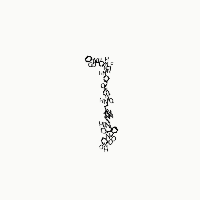 O=C1CCC(N2C(=O)c3cccc(NCCn4cc(CCNC(=O)N5CCN(C(=O)Cc6ccc(Nc7ncc(F)c(Nc8ccc(C(=O)Nc9ccccc9Cl)cc8)n7)cc6)CC5)nn4)c3C2=O)C(=O)N1